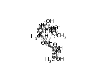 Cc1ccc(/N=N/c2cc(CO)c(/N=N\c3ccc(N(C)CCCC(=O)NCC#Cc4cn(C5CC(O)C(C)O5)c(=O)[nH]c4=O)cc3)cc2C)c([N+](=O)[O-])c1